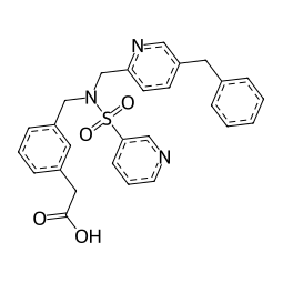 O=C(O)Cc1cccc(CN(Cc2ccc(Cc3ccccc3)cn2)S(=O)(=O)c2cccnc2)c1